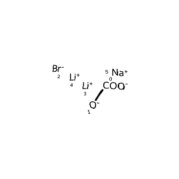 O=C([O-])[O-].[Br-].[Li+].[Li+].[Na+]